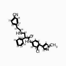 Cn1cc(-c2ccc(NC(=O)C(CNCCc3ccc(C#N)cc3)c3ccccc3)cc2Cl)cn1